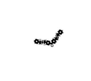 CC(C)(OOC(C)(C)c1ccc(C(=O)c2ccc(C(C)(C)OOC(C)(C)c3ccccc3)cc2)cc1)c1ccccc1